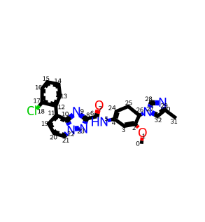 COC1=CC(NC(=O)c2nc3c(-c4ccccc4Cl)cccn3n2)=CCC1n1cnc(C)c1